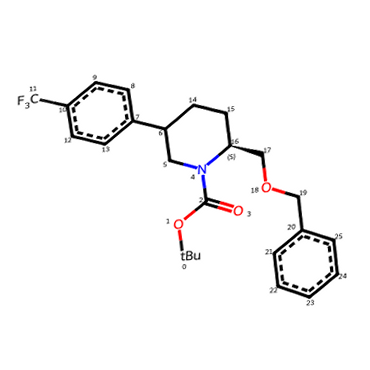 CC(C)(C)OC(=O)N1CC(c2ccc(C(F)(F)F)cc2)CC[C@H]1COCc1ccccc1